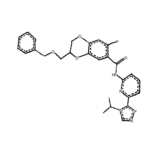 CC(C)n1cnnc1-c1cccc(NC(=O)c2cc3c(cc2F)OCC(COCc2ccccc2)O3)n1